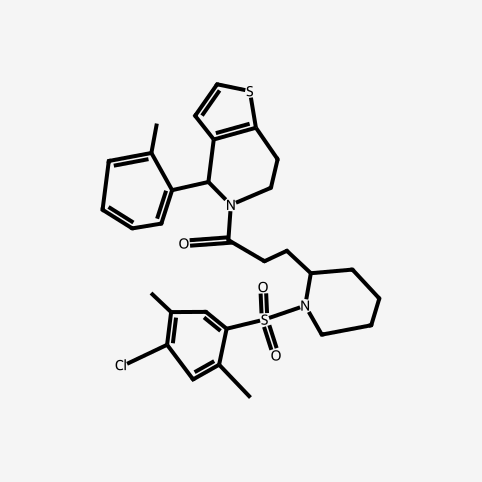 Cc1cc(S(=O)(=O)N2CCCCC2CCC(=O)N2CCc3sccc3C2c2ccccc2C)c(C)cc1Cl